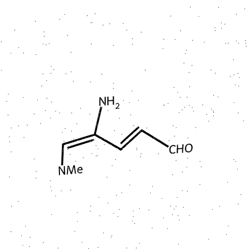 CN/C=C(N)\C=C\C=O